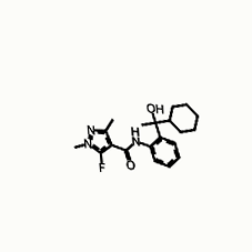 Cc1nn(C)c(F)c1C(=O)Nc1ccccc1C(C)(O)C1CCCCC1